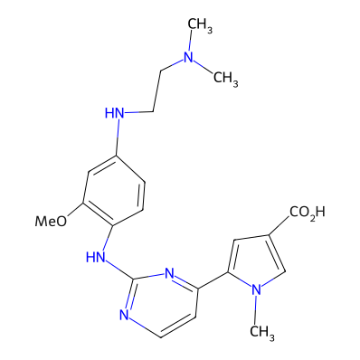 COc1cc(NCCN(C)C)ccc1Nc1nccc(-c2cc(C(=O)O)cn2C)n1